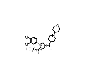 CN(C(=O)O)[C@@H]1CN(C(=O)C2CCN(C3CCOCC3)CC2)C[C@H]1c1ccc(Cl)c(Cl)c1